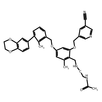 CC(=O)NCCNCc1c(C)cc(OCc2cccc(-c3ccc4c(c3)OCCO4)c2C)cc1OCc1cncc(C#N)c1